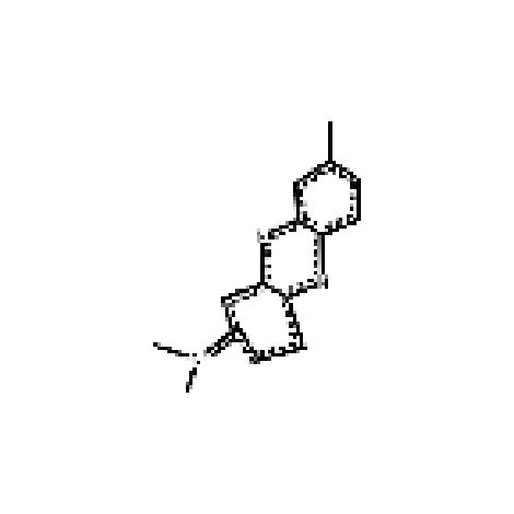 Cc1ccc2nc3ccc(=[N+](C)C)cc-3[nH]c2c1